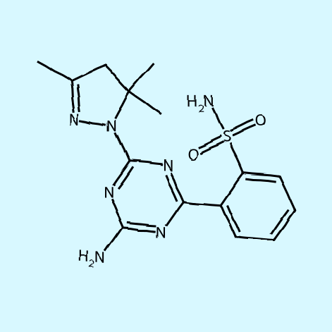 CC1=NN(c2nc(N)nc(-c3ccccc3S(N)(=O)=O)n2)C(C)(C)C1